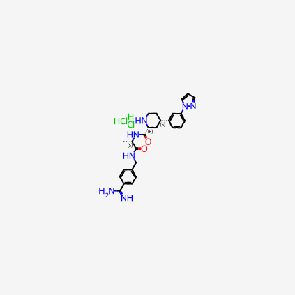 C[C@H](NC(=O)[C@H]1C[C@@H](c2cccc(-n3cccn3)c2)CCN1)C(=O)NCc1ccc(C(=N)N)cc1.Cl.Cl